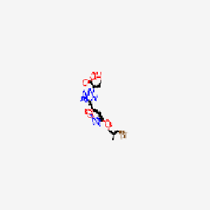 CCC(C(=O)O)n1nnc(-c2cc(OCC(C)CBr)no2)n1